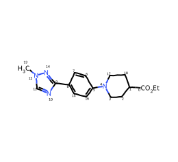 CCOC(=O)C1CCN(c2ccc(-c3ncn(C)n3)cc2)CC1